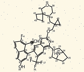 C#Cc1c(F)ccc2cc(O)cc(-c3c(C(F)(F)F)cc4c(N5CC6CCC(C5)N6)nc(OCC5(CN6CCOCC67CCC7)CC5)nc4c3F)c12